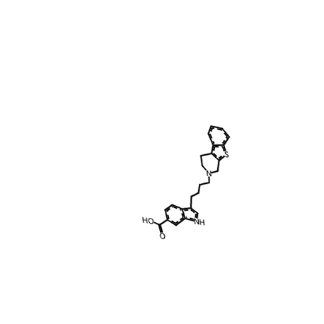 O=C(O)c1ccc2c(CCCCN3CCc4c(sc5ccccc45)C3)c[nH]c2c1